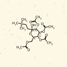 CC(=O)OC[C@H]1O[C@](O)(CC[Si](C)(C)C)[C@H](OC(C)=O)[C@@H](OC(C)=O)[C@H]1OC(C)=O